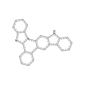 c1ccc2c(c1)nc1c3ccccc3c3cc4c(cc3n21)[nH]c1ccccc14